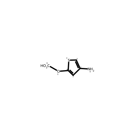 Nc1csc(OC(=O)O)c1